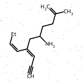 C#C/C=C(\C=C/CC)CC(N)CCC(=C)C